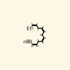 CC/C=C\C/C=C\C/C=C\C/C=C\CCCC